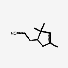 CC1=CC(C)(C)C(CCO)C1